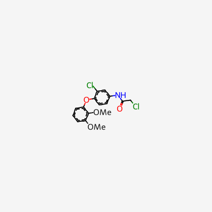 COc1cccc(Oc2ccc(NC(=O)CCl)cc2Cl)c1OC